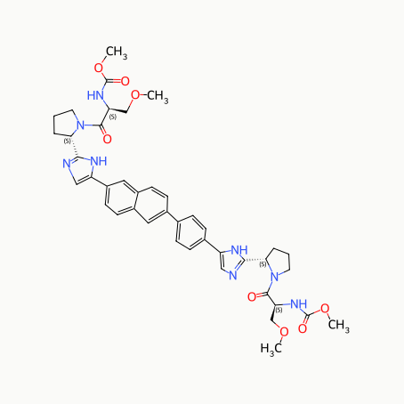 COC[C@H](NC(=O)OC)C(=O)N1CCC[C@H]1c1ncc(-c2ccc(-c3ccc4cc(-c5cnc([C@@H]6CCCN6C(=O)[C@H](COC)NC(=O)OC)[nH]5)ccc4c3)cc2)[nH]1